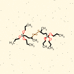 CCCO[Si](CCC(C)SSSC(C)CC[Si](OCCC)(OCCC)OCCC)(OCCC)OCCC